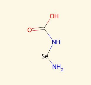 N[Se]NC(=O)O